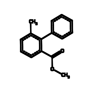 COC(=O)c1cccc(C)c1-c1ccccc1